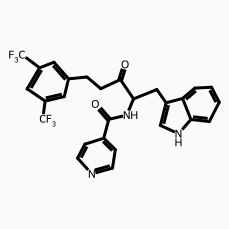 O=C(NC(Cc1c[nH]c2ccccc12)C(=O)CCc1cc(C(F)(F)F)cc(C(F)(F)F)c1)c1ccncc1